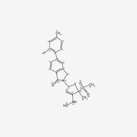 Cc1ccc(-c2ccc3c(c2)CN(CCC(C)(C(=O)NO)S(C)(=O)=O)C3=O)c(F)c1